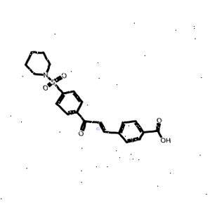 O=C(O)c1ccc(/C=C/C(=O)c2ccc(S(=O)(=O)N3CCCCC3)cc2)cc1